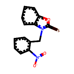 O=[N+]([O-])c1ccccc1Cn1c(=S)oc2ccccc21